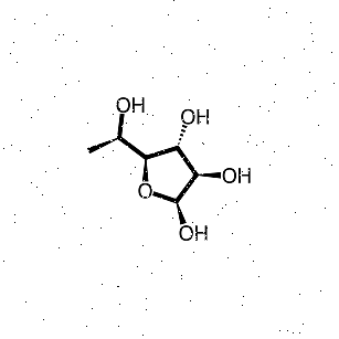 C[C@@H](O)[C@@H]1O[C@H](O)[C@H](O)[C@H]1O